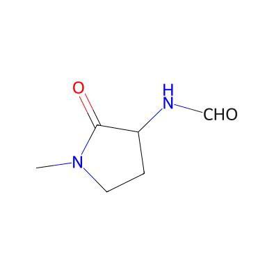 CN1CCC(NC=O)C1=O